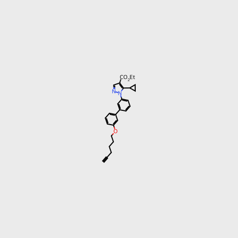 C#CCCCCOc1cccc(-c2cccc(-n3ncc(C(=O)OCC)c3C3CC3)c2)c1